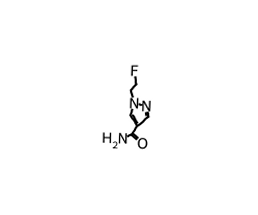 NC(=O)c1cnn(CCF)c1